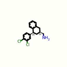 NC[C@@H]1Cc2ccccc2[C@H](c2ccc(Cl)c(Cl)c2)C1